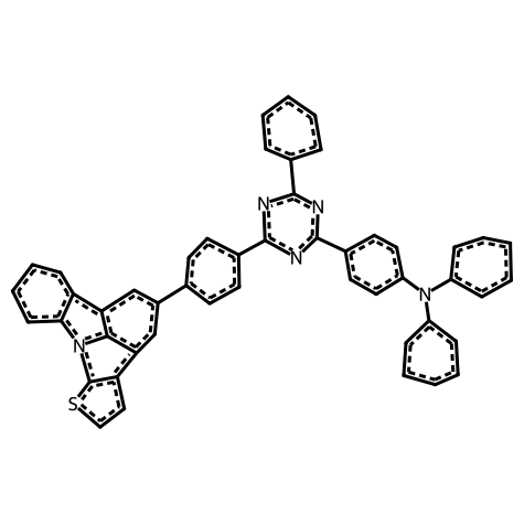 c1ccc(-c2nc(-c3ccc(-c4cc5c6ccccc6n6c7sccc7c(c4)c56)cc3)nc(-c3ccc(N(c4ccccc4)c4ccccc4)cc3)n2)cc1